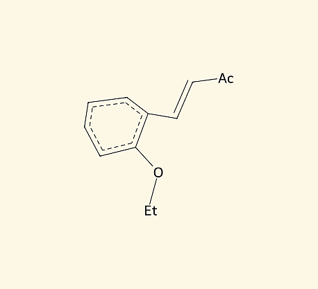 CCOc1ccccc1/C=C/C(C)=O